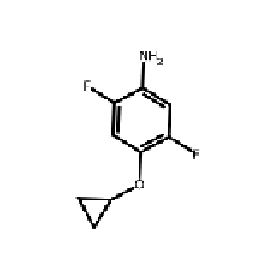 Nc1cc(F)c(OC2CC2)cc1F